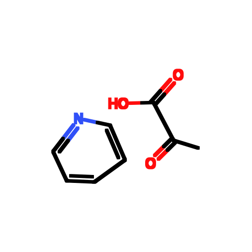 CC(=O)C(=O)O.c1ccncc1